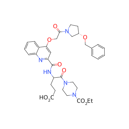 CCOC(=O)N1CCN(C(=O)C(CCC(=O)O)NC(=O)c2cc(OCC(=O)N3CC[C@H](OCc4ccccc4)C3)c3ccccc3n2)CC1